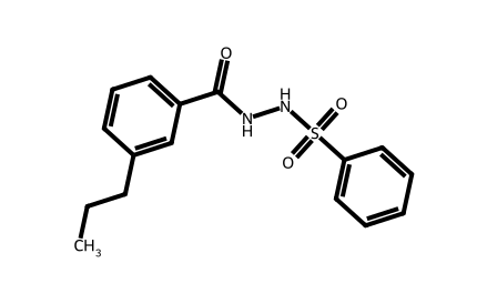 CCCc1cccc(C(=O)NNS(=O)(=O)c2ccccc2)c1